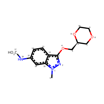 Cn1nc(OC[C@@H]2COCCO2)c2ccc(NC(=O)O)cc21